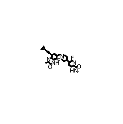 CNC(=O)c1ccc(C2=CCN(Cc3cc(C#CC4CC4)c4nc(C)c(=O)[nH]c4c3F)CC2)c(F)n1